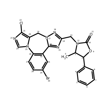 CC1C(c2ccccc2)OC(=O)N1Cc1nc2n(n1)Cc1c(Cl)ncn1-c1ccc(Br)cc1-2